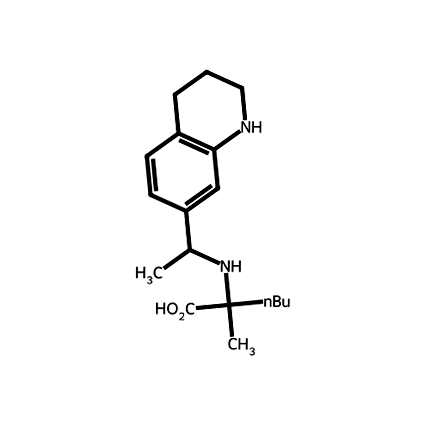 CCCCC(C)(NC(C)c1ccc2c(c1)NCCC2)C(=O)O